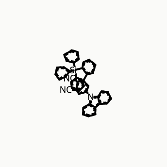 N#Cc1cc(-n2c3ccccc3c3ccccc32)cc(-c2ccccc2[Si](c2ccccc2)(c2ccccc2)c2ccccc2)c1C#N